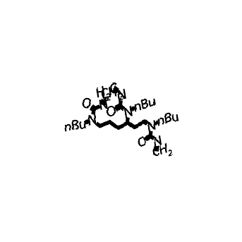 C=NC(=O)N(CCCC)CCCC(CCN(CCCC)C(=O)N=C)N(CCCC)C(=O)N=C